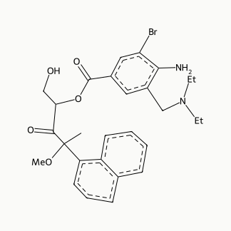 CCN(CC)Cc1cc(C(=O)OC(CO)C(=O)C(C)(OC)c2cccc3ccccc23)cc(Br)c1N